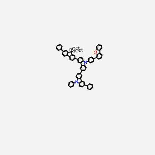 CCCCCCCCC1(CCCCCCCC)c2cc(-c3ccccc3)ccc2-c2ccc(-c3ccc4c(c3)c3cc(-c5ccc6c(c5)c5cc(-c7ccccc7)ccc5n6-c5ccccc5)ccc3n4-c3ccc(-c4cccc5c4oc4ccccc45)cc3)cc21